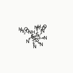 N.N#C[S][Fe]([S]C#N)([S]C#N)([S]C#N)([S]C#N)[S]C#N.O.O.O.O